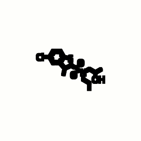 CCCN(CC(C)O)S(=O)(=O)C1Sc2ccc(Cl)cc2C1C